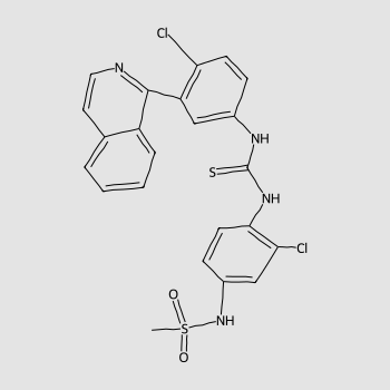 CS(=O)(=O)Nc1ccc(NC(=S)Nc2ccc(Cl)c(-c3nccc4ccccc34)c2)c(Cl)c1